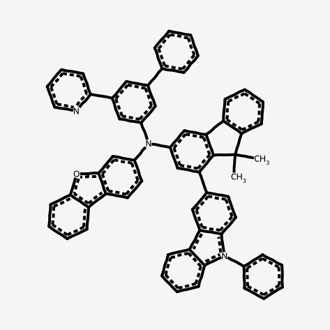 CC1(C)c2ccccc2-c2cc(N(c3cc(-c4ccccc4)cc(-c4ccccn4)c3)c3ccc4c(c3)oc3ccccc34)cc(-c3ccc4c(c3)c3ccccc3n4-c3ccccc3)c21